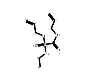 C=CCOC(=O)P(=O)(OCC)OCC=C